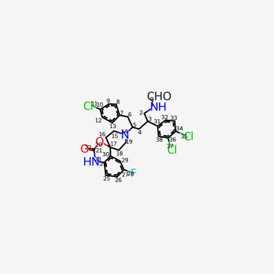 O=CNCC(CC(Cc1ccc(Cl)cc1)N1CCC2(CC1)OC(=O)Nc1ccc(F)cc12)c1ccc(Cl)c(Cl)c1